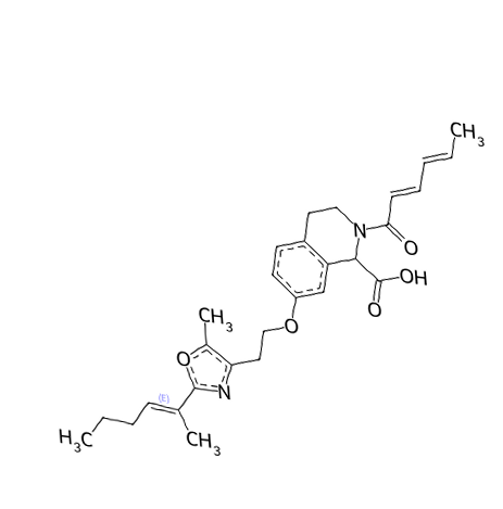 CC=CC=CC(=O)N1CCc2ccc(OCCc3nc(/C(C)=C/CCC)oc3C)cc2C1C(=O)O